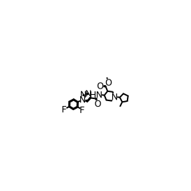 COC(=O)C1CN(C2CCCC2C)CCC1NC(=O)c1cn(-c2ccc(F)cc2F)nn1